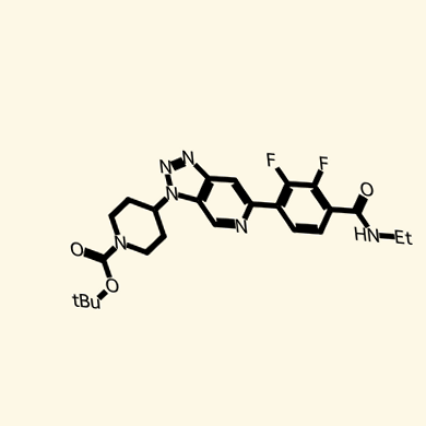 CCNC(=O)c1ccc(-c2cc3nnn(C4CCN(C(=O)OC(C)(C)C)CC4)c3cn2)c(F)c1F